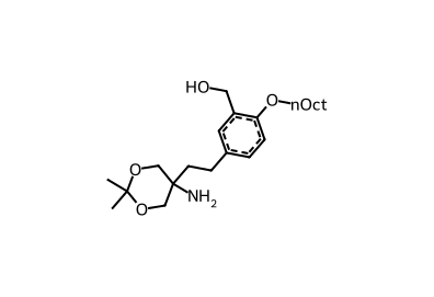 CCCCCCCCOc1ccc(CCC2(N)COC(C)(C)OC2)cc1CO